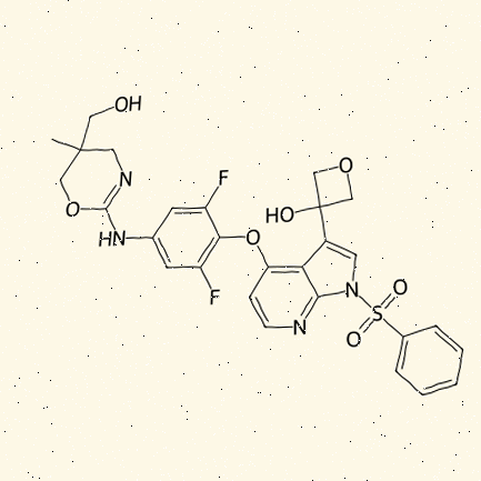 CC1(CO)CN=C(Nc2cc(F)c(Oc3ccnc4c3c(C3(O)COC3)cn4S(=O)(=O)c3ccccc3)c(F)c2)OC1